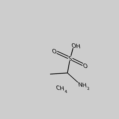 C.CC(N)S(=O)(=O)O